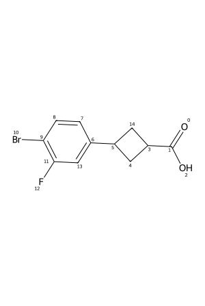 O=C(O)C1CC(c2ccc(Br)c(F)c2)C1